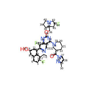 CCc1c(F)ccc2cc(O)cc(-c3ncc4c(N5CCCCC(C(=O)n6ccc(C)n6)C5)nc(OC[C@@]56CCCN5C[C@H](F)C6)nc4c3F)c12